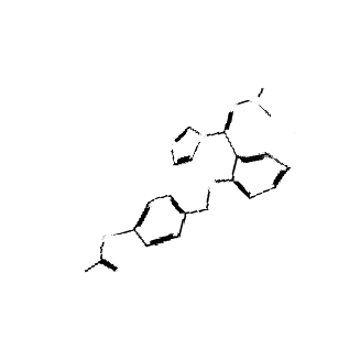 CC(=O)Nc1ccc(COc2ccccc2/C(=N\N(C)C)n2ccnc2)cc1